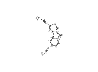 CC#Cc1ccc2[nH]c3ccc(C#CCC)cc3c2c1